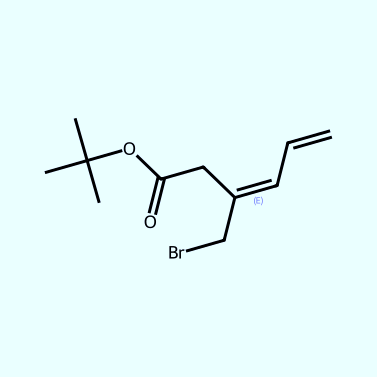 C=C/C=C(/CBr)CC(=O)OC(C)(C)C